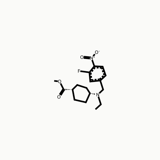 CCN(Cc1ccc([N+](=O)[O-])c(F)c1)[C@H]1CC[C@@H](C(=O)OC)CC1